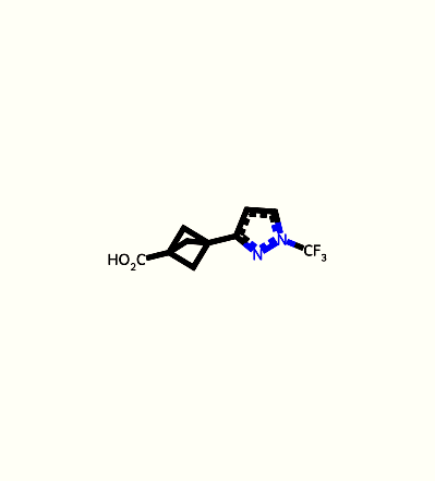 O=C(O)C12CC(c3ccn(C(F)(F)F)n3)(C1)C2